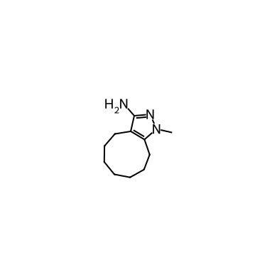 Cn1nc(N)c2c1CCCCCCC2